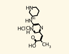 CC(=Cc1cnc(N[C@@H]2CCCNC2)cn1)C(=O)O.Cl.Cl